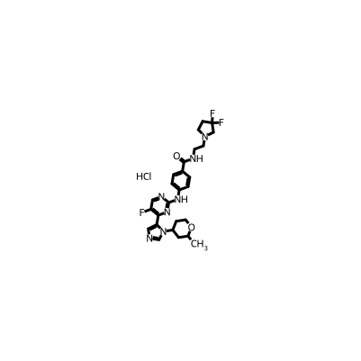 CC1CC(n2cncc2-c2nc(Nc3ccc(C(=O)NCCN4CCC(F)(F)C4)cc3)ncc2F)CCO1.Cl